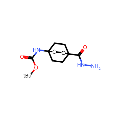 CC(C)(C)OC(=O)NC12CCC(C(=O)NN)(CC1)CC2